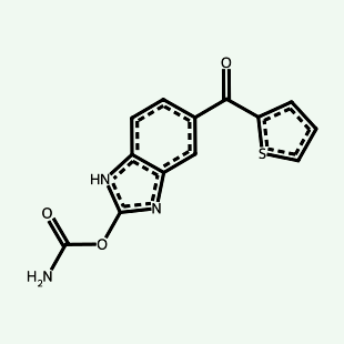 NC(=O)Oc1nc2cc(C(=O)c3cccs3)ccc2[nH]1